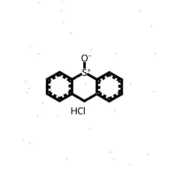 Cl.[O-][S+]1c2ccccc2Cc2ccccc21